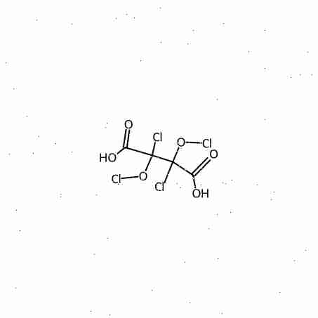 O=C(O)C(Cl)(OCl)C(Cl)(OCl)C(=O)O